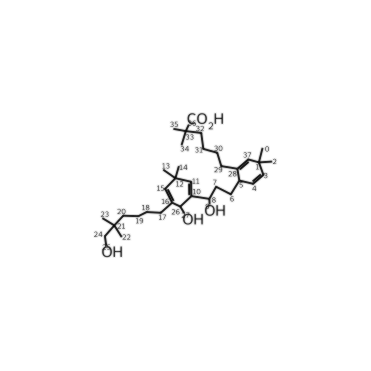 CC1(C)C=CC(CCC(O)C2=CC(C)(C)C=C(CCCCC(C)(C)CO)C2O)C(CCCCC(C)(C)C(=O)O)=C1